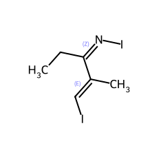 CCC(=N/I)/C(C)=C/I